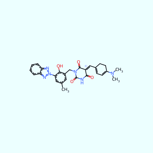 Cc1cc(CN2C(=O)NC(=O)/C(=C\C3=CC=C(N(C)C)CC3)C2=O)c(O)c(-n2nc3ccccc3n2)c1